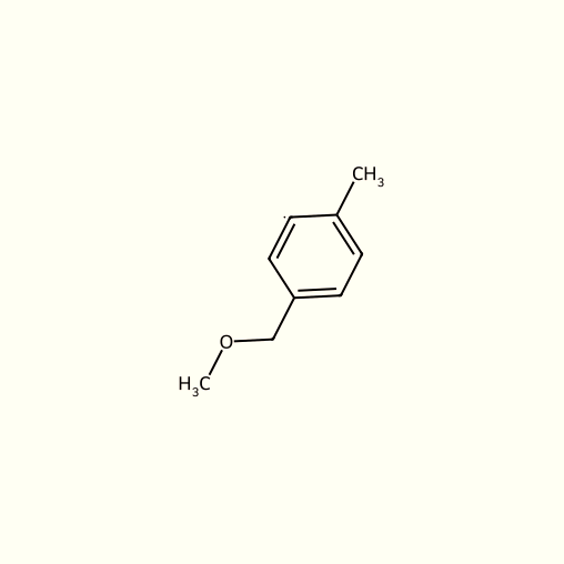 COCc1c[c]c(C)cc1